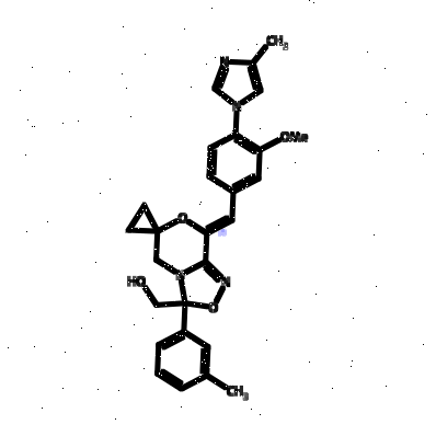 COc1cc(/C=C2\OC3(CC3)CN3C2=NOC3(CO)c2cccc(C)c2)ccc1-n1cnc(C)c1